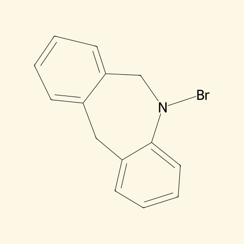 BrN1Cc2ccccc2Cc2ccccc21